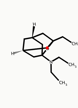 CCN(CC)C12C[C@@H]3C[C@@H](CC(CC)(C3)O1)C2